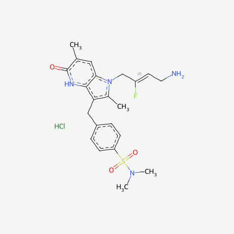 Cc1cc2c([nH]c1=O)c(Cc1ccc(S(=O)(=O)N(C)C)cc1)c(C)n2C/C(F)=C/CN.Cl